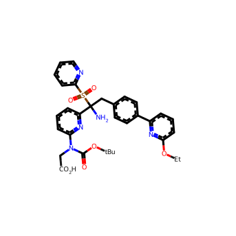 CCOc1cccc(-c2ccc(CC(N)(c3cccc(N(CC(=O)O)C(=O)OC(C)(C)C)n3)S(=O)(=O)c3ccccn3)cc2)n1